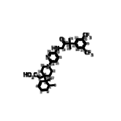 CC1C=CC=CC1(F)C1(CC(=O)O)CCN(c2ccc(NCC(=O)C(C)(C)c3cc(C(F)(F)F)cc(C(F)(F)F)c3)cn2)CC1